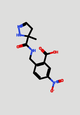 CC1(C(=O)NCc2ccc([N+](=O)[O-])cc2C(=O)O)CC=NN1